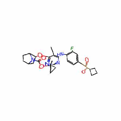 Cc1c(Nc2ccc(S(=O)(=O)C3CCC3)cc2F)ncnc1OC1CC2CCC1N2C(=O)OC1(C)CC1